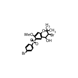 COc1cc2c(cc1S(=O)(=O)c1ccc(Br)cc1)C(O)C(Br)C(C)(C)O2